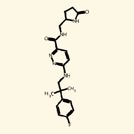 CC(C)(CNc1ccc(C(=O)NCC2CCC(=O)N2)nn1)c1ccc(F)cc1